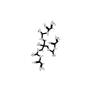 C=CC(=O)OC(CC)OCC(CC)(COC(CC)OC(=O)C=C)COC(CC)OC(=O)C=C